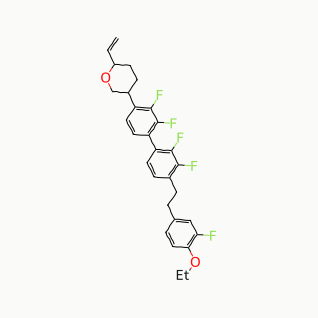 C=CC1CCC(c2ccc(-c3ccc(CCc4ccc(OCC)c(F)c4)c(F)c3F)c(F)c2F)CO1